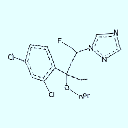 CCCOC(C)(c1ccc(Cl)cc1Cl)C(F)n1cncn1